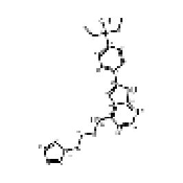 CCC(O)(CC)c1ccc(-c2cc3c(NCCCn4cccc4)ncnc3[nH]2)cc1